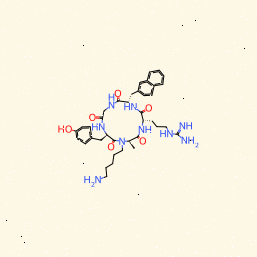 C[C@@H]1C(=O)N[C@@H](CCCNC(=N)N)C(=O)N[C@@H](Cc2ccc3ccccc3c2)C(=O)NCC(=O)N[C@H](Cc2ccc(O)cc2)C(=O)N1CCCCCN